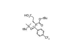 CC(C)(C)OC(=O)[C@H](CCC(=O)O)[C@H](O[Si](C)(C)C(C)(C)C)c1ccc(C(F)(F)F)cc1